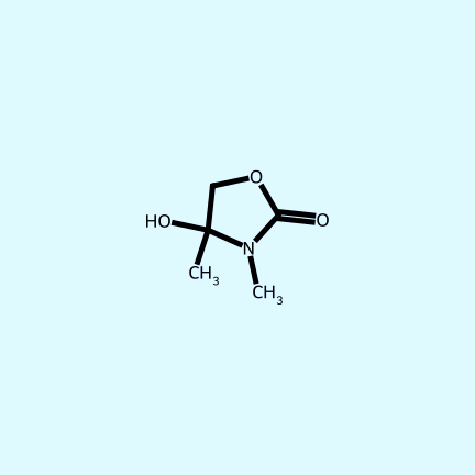 CN1C(=O)OCC1(C)O